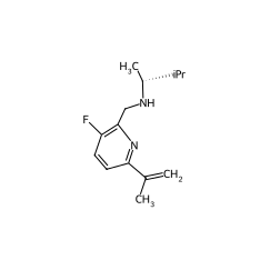 C=C(C)c1ccc(F)c(CN[C@H](C)C(C)C)n1